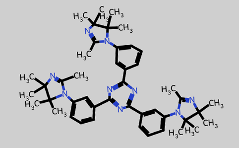 CC1=NC(C)(C)C(C)(C)N1c1cccc(-c2nc(-c3cccc(N4C(C)=NC(C)(C)C4(C)C)c3)nc(-c3cccc(N4C(C)=NC(C)(C)C4(C)C)c3)n2)c1